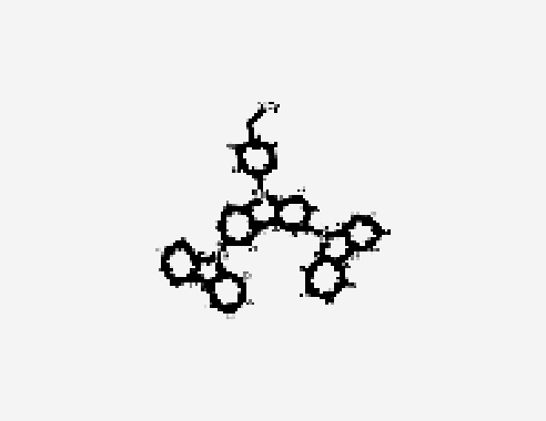 CC(C)Cc1ccc(-n2c3ccc(-n4c5ccccc5c5ccccc54)cc3c3cc(-n4c5ccccc5c5ccccc54)ccc32)cc1